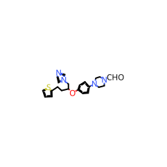 O=CN1CCN(c2ccc(OC(CCc3cccs3)Cn3ccnc3)cc2)CC1